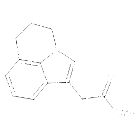 COC(=O)Cc1cn2c3c(cccc13)CCC2